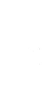 CC(C)CCCCCOC(=O)COC(C)C